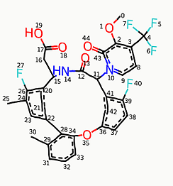 COc1c(C(F)(F)F)ccn(C2C(=O)NC(CC(=O)O)c3cc(cc(C)c3F)-c3c(C)cccc3Oc3ccc(F)c2c3)c1=O